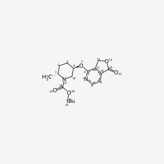 C[C@@H]1CC[C@@H](Oc2nccc3c2COC3=O)CN1C(=O)OC(C)(C)C